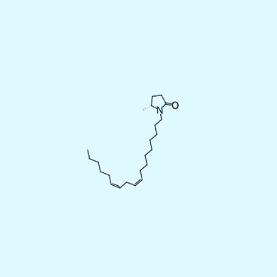 CCCCC/C=C\C/C=C\CCCCCCCCN1C(=O)CC[C@H]1C